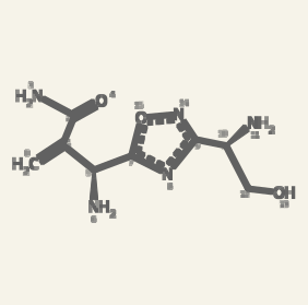 C=C(C(N)=O)[C@H](N)c1nc([C@@H](N)CO)no1